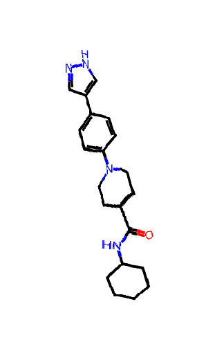 O=C(NC1CCCCC1)C1CCN(c2ccc(-c3cn[nH]c3)cc2)CC1